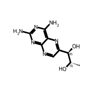 C[C@H](O)[C@H](O)c1cnc2nc(N)nc(N)c2n1